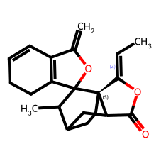 C=C1OC2(C3=C1C=CCC3)C(C)C1CC[C@]23/C(=C/C)OC(=O)C3C1